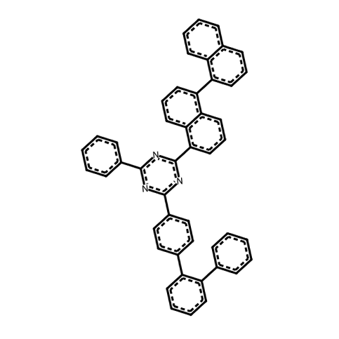 c1ccc(-c2nc(-c3ccc(-c4ccccc4-c4ccccc4)cc3)nc(-c3cccc4c(-c5cccc6ccccc56)cccc34)n2)cc1